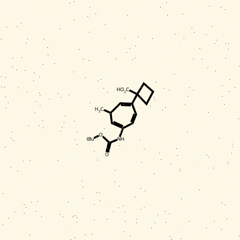 CC1C=C(NC(=O)OC(C)(C)C)C=CC(C2(C(=O)O)CCC2)=C1